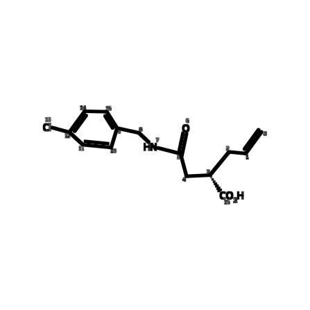 C=CC[C@@H](CC(=O)NCc1ccc(Cl)cc1)C(=O)O